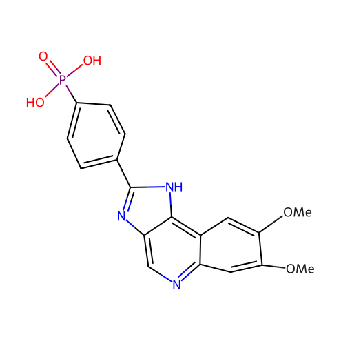 COc1cc2ncc3nc(-c4ccc(P(=O)(O)O)cc4)[nH]c3c2cc1OC